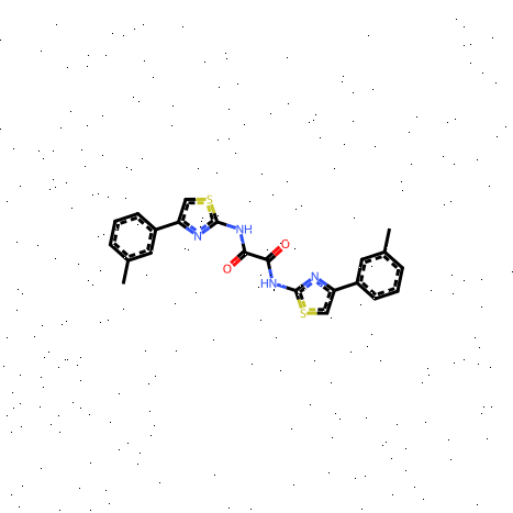 Cc1cccc(-c2csc(NC(=O)C(=O)Nc3nc(-c4cccc(C)c4)cs3)n2)c1